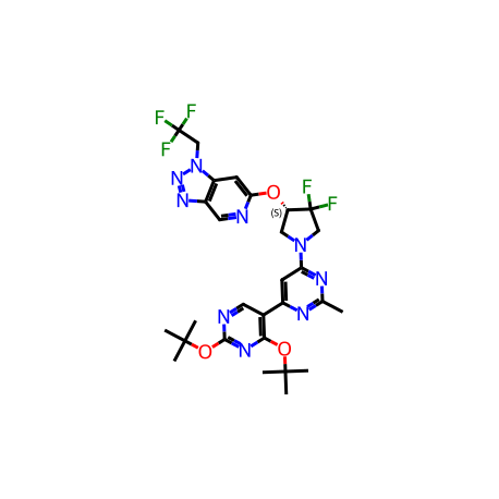 Cc1nc(-c2cnc(OC(C)(C)C)nc2OC(C)(C)C)cc(N2C[C@H](Oc3cc4c(cn3)nnn4CC(F)(F)F)C(F)(F)C2)n1